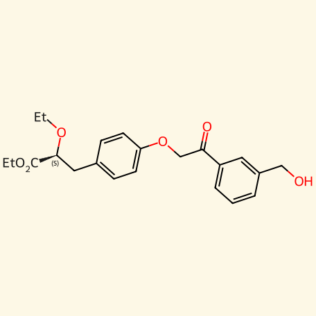 CCOC(=O)[C@H](Cc1ccc(OCC(=O)c2cccc(CO)c2)cc1)OCC